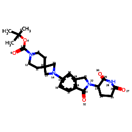 CC(C)(C)OC(=O)N1CCC2(CC1)CN(c1ccc3c(c1)CN(C1CCC(=O)NC1=O)C3=O)C2